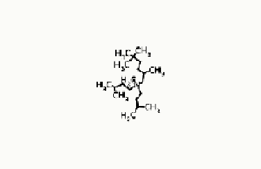 CC(C)CC[N+](C)(CCC(C)C)CC(C)CCC(C)(C)C